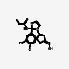 CCC(=O)NC1(c2ccc(Cl)c(Cl)c2)SC=CN1C1CCC(=NO)C1